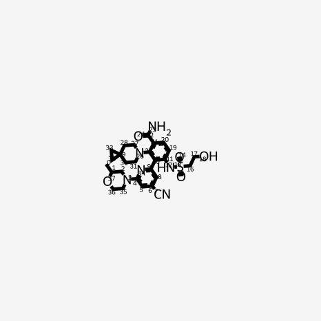 CC1CN(c2cc(C#N)cc(-c3c(NS(=O)(=O)CCO)ccc(C(N)=O)c3N3CCC4(CC3)CC4)n2)CCO1